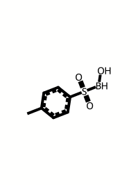 Cc1ccc(S(=O)(=O)BO)cc1